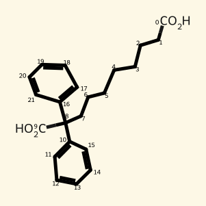 O=C(O)CCCCCCCC(C(=O)O)(c1ccccc1)c1ccccc1